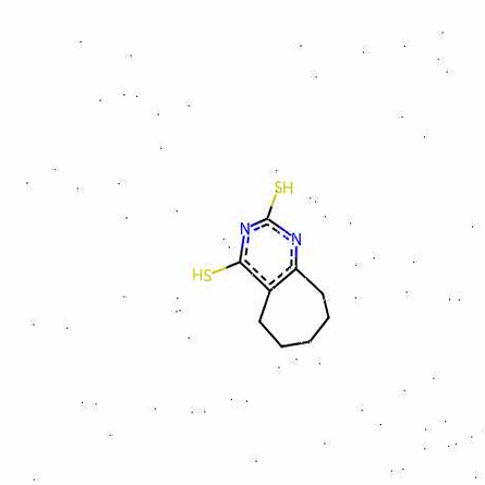 Sc1nc(S)c2c(n1)CCCCC2